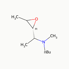 CCCCN(C)C(C)[C@H]1OC1C